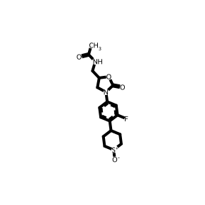 CC(=O)NCC1CN(c2ccc(C3CC[S+]([O-])CC3)c(F)c2)C(=O)O1